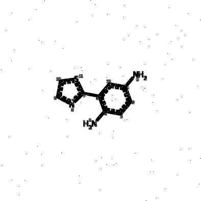 Nc1ccc(N)c(-c2nccs2)c1